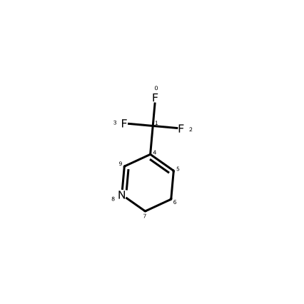 FC(F)(F)C1=CCCN=C1